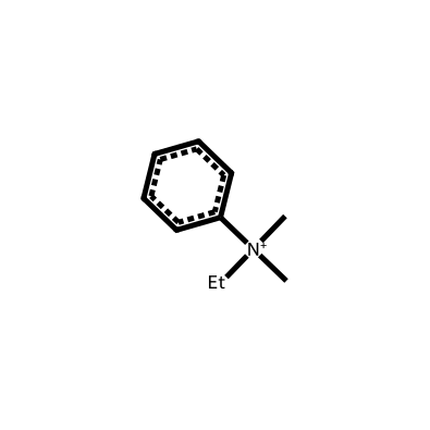 CC[N+](C)(C)c1ccccc1